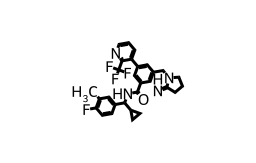 Cc1cc(C(NC(=O)c2cc(CN3CCCC3=N)cc(-c3cccnc3C(F)(F)F)c2)C2CC2)ccc1F